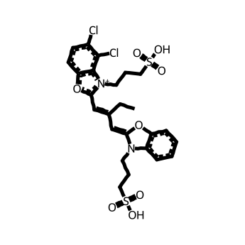 CCC(=Cc1oc2ccc(Cl)c(Cl)c2[n+]1CCCS(=O)(=O)O)C=C1Oc2ccccc2N1CCCS(=O)(=O)O